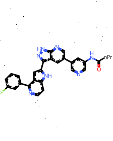 CCCC(=O)Nc1cncc(-c2cnc3[nH]nc(-c4cc5c(-c6cccc(F)c6)nccc5[nH]4)c3c2)c1